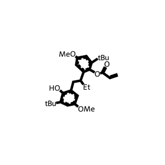 C=CC(=O)Oc1c(C(CC)Cc2cc(OC)cc(C(C)(C)C)c2O)cc(OC)cc1C(C)(C)C